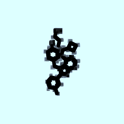 Cc1cccc(-c2nc3ncnc(N[C@H](CCCO)C4CCC4)c3n2Cc2ccc(Cl)cc2)c1